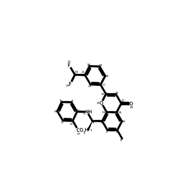 Cc1cc([C@@H](C)Nc2ccccc2C(=O)O)c2oc(-c3cccc(C(F)F)c3)cc(=O)c2c1